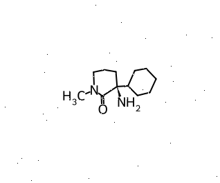 CN1CCC[C@](N)(C2CCCCC2)C1=O